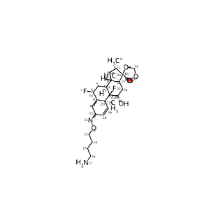 C[C@H]1C[C@H]2[C@@H]3C[C@H](F)C4=C/C(=N/OCCCCN)C=C[C@]4(C)[C@@]3(F)[C@@H](O)C[C@]2(C)[C@]12OCOC21COCO1